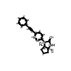 O=C1N[C@H]2CCC[C@H]2N1c1ccc(C#Cc2ccccc2)nn1